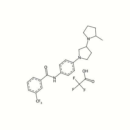 CC1CCCN1C1CCN(c2ccc(NC(=O)c3cccc(C(F)(F)F)c3)cc2)C1.O=C(O)C(F)(F)F